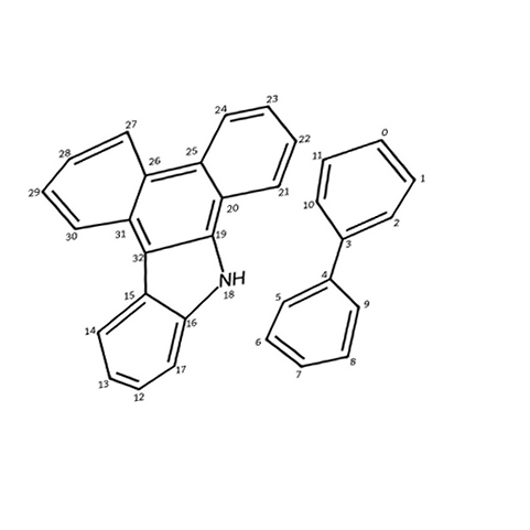 c1ccc(-c2ccccc2)cc1.c1ccc2c(c1)[nH]c1c3ccccc3c3ccccc3c21